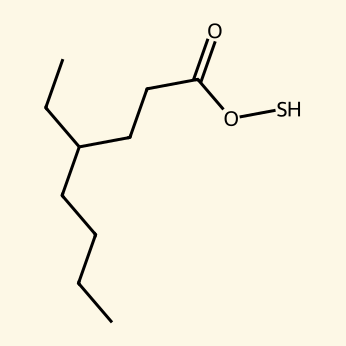 CCCCC(CC)CCC(=O)OS